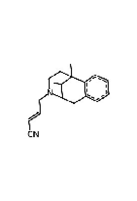 CC1C2Cc3ccccc3C1(C)CCN2C/C=C/C#N